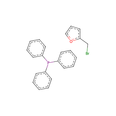 BrCc1ccco1.c1ccc(P(c2ccccc2)c2ccccc2)cc1